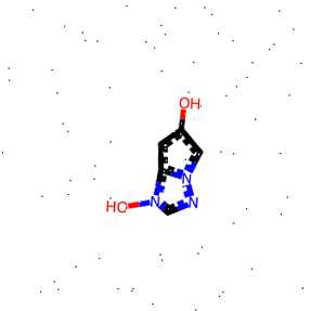 Oc1cc2n(O)cnn2c1